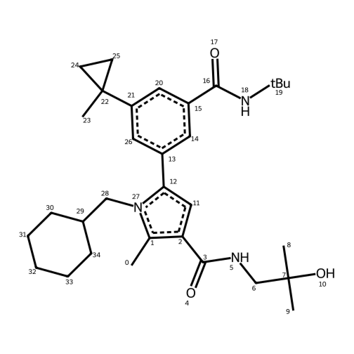 Cc1c(C(=O)NCC(C)(C)O)cc(-c2cc(C(=O)NC(C)(C)C)cc(C3(C)CC3)c2)n1CC1CCCCC1